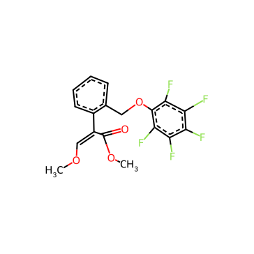 COC=C(C(=O)OC)c1ccccc1COc1c(F)c(F)c(F)c(F)c1F